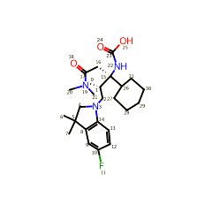 C[C@@H](CN1CC(C)(C)c2cc(F)ccc21)[C@@](CC(=O)N(C)C)(NC(=O)O)C1CCCCC1